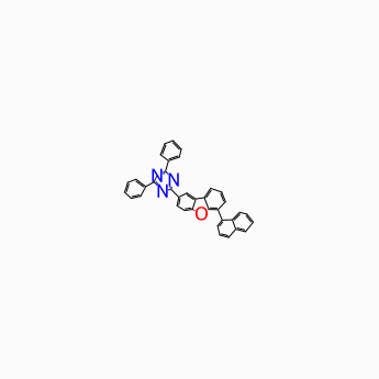 c1ccc(-c2nc(-c3ccccc3)nc(-c3ccc4oc5c(-c6cccc7ccccc67)cccc5c4c3)n2)cc1